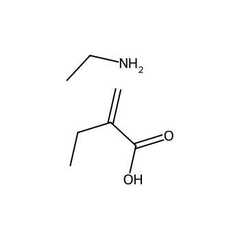 C=C(CC)C(=O)O.CCN